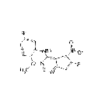 COc1ccc(Br)cc1Nc1ncnc2cc(F)c([N+](=O)[O-])cc12